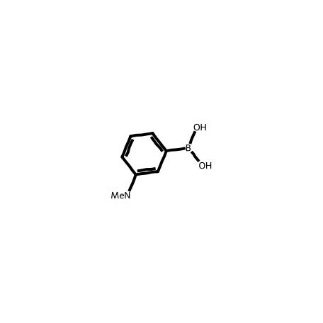 CNc1cccc(B(O)O)c1